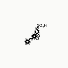 Cl.O=C(O)CCN1CCC2(CC1)COc1cc(C=Cc3ccccc3)ccc12